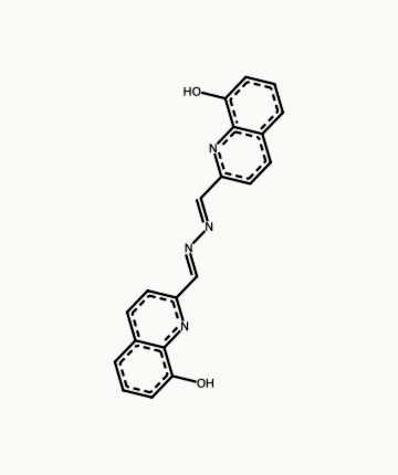 Oc1cccc2ccc(/C=N/N=C/c3ccc4cccc(O)c4n3)nc12